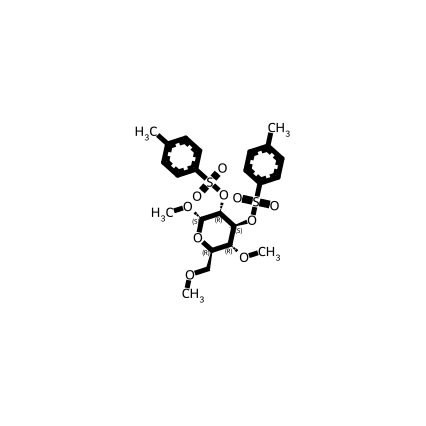 COC[C@H]1O[C@H](OC)[C@H](OS(=O)(=O)c2ccc(C)cc2)[C@@H](OS(=O)(=O)c2ccc(C)cc2)[C@@H]1OC